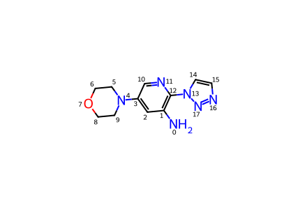 Nc1cc(N2CCOCC2)cnc1-n1ccnn1